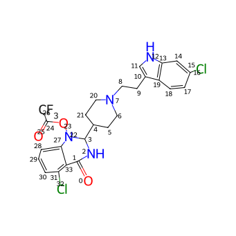 O=C1NC(C2CCN(CCc3c[nH]c4cc(Cl)ccc34)CC2)N(OC(=O)C(F)(F)F)c2cccc(Cl)c21